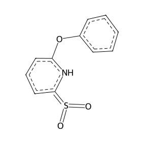 O=S(=O)=c1cccc(Oc2ccccc2)[nH]1